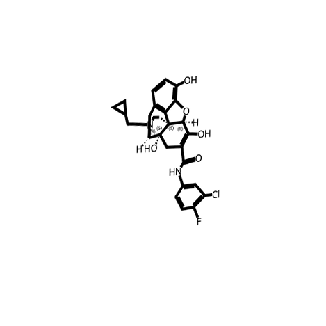 O=C(Nc1ccc(F)c(Cl)c1)C1=C(O)[C@@H]2Oc3c(O)ccc4c3[C@@]23CCN(CC2CC2)[C@H](C4)[C@]3(O)C1